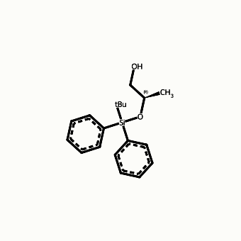 C[C@H](CO)O[Si](c1ccccc1)(c1ccccc1)C(C)(C)C